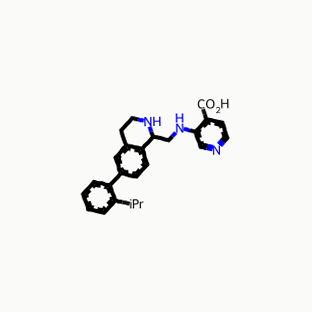 CC(C)c1ccccc1-c1ccc2c(c1)CCNC2CNc1cnccc1C(=O)O